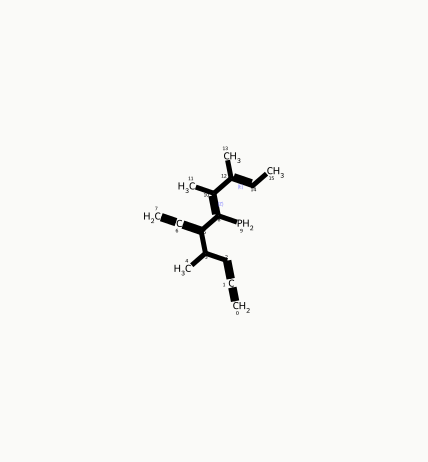 C=C=CC(C)C(=C=C)/C(P)=C(C)/C(C)=C/C